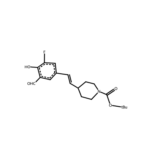 CC(C)(C)OC(=O)N1CCC(/C=C/c2cc(F)c(O)c(C=O)c2)CC1